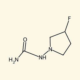 NC(=O)NN1CCC(F)C1